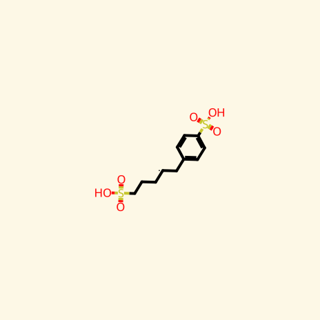 O=S(=O)(O)CCC[CH]Cc1ccc(S(=O)(=O)O)cc1